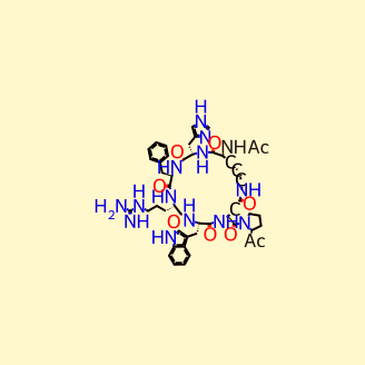 CC(=O)N[C@H]1CCCNC(=O)C[C@@H](C(=O)N2CCC[C@H]2C(C)=O)NC(=O)[C@H](Cc2c[nH]c3ccccc23)NC(=O)[C@H](CCCNC(=N)N)NC(=O)[C@@H](Cc2ccccc2)NC(=O)[C@H](Cc2c[nH]cn2)NC1=O